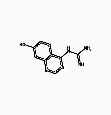 N=C(N)Nc1ncnc2cc(O)ccc12